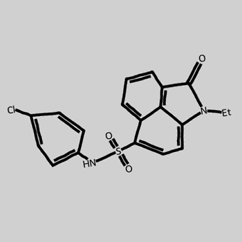 CCN1C(=O)c2cccc3c(S(=O)(=O)Nc4ccc(Cl)cc4)ccc1c23